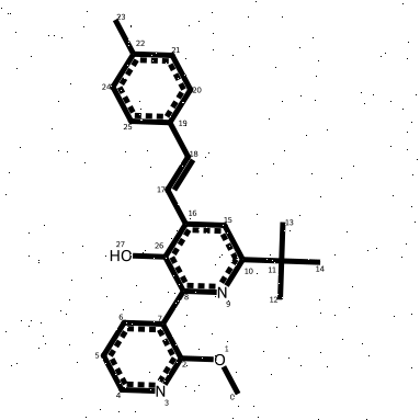 COc1ncccc1-c1nc(C(C)(C)C)cc(/C=C/c2ccc(C)cc2)c1O